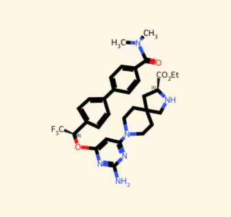 CCOC(=O)[C@@H]1CC2(CCN(c3cc(O[C@H](c4ccc(-c5ccc(C(=O)N(C)C)cc5)cc4)C(F)(F)F)nc(N)n3)CC2)CN1